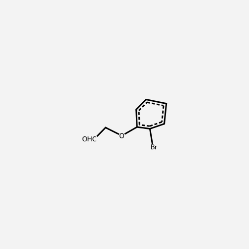 O=CCOc1ccccc1Br